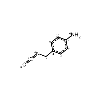 Nc1ccc(CN=C=O)cc1